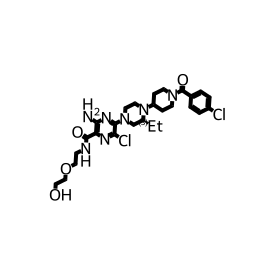 CC[C@H]1CN(c2nc(N)c(C(=O)NCCOCCO)nc2Cl)CCN1C1CCN(C(=O)c2ccc(Cl)cc2)CC1